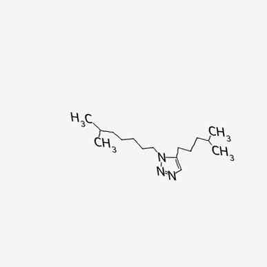 CC(C)CCCCCn1nncc1CCCC(C)C